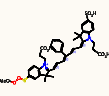 COOOSc1ccc2c(c1)C(C)(C)C(/C=C/C=C(/C=C/C=C1/N(CCC(=O)O)c3ccc(S(=O)(=O)O)cc3C1(C)C)c1ccccc1)=[N+]2CCC(=O)O